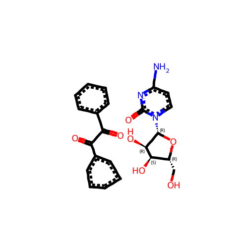 Nc1ccn([C@@H]2O[C@H](CO)[C@@H](O)[C@H]2O)c(=O)n1.O=C(C(=O)c1ccccc1)c1ccccc1